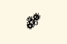 O=C(O)N(c1ncsc1-c1ccccc1)C12CCCN(CC1)CC2